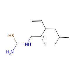 C=CC(CC(C)C)[C@H](C)CNC(N)S